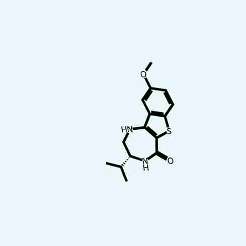 COc1ccc2sc3c(c2c1)NC[C@@H](C(C)C)NC3=O